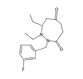 CCC1CC(=O)CCC(=O)N(Cc2cccc(F)c2)N1CC